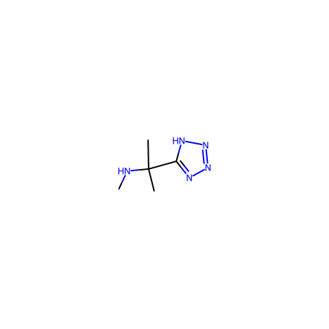 CNC(C)(C)c1nnn[nH]1